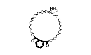 NN1CCCCCCCCOC(=O)c2ccccc2C(=O)OCCCCCCCC1